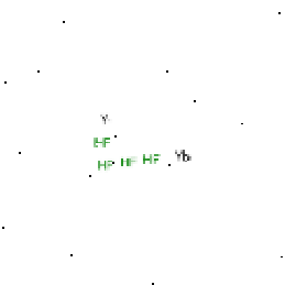 F.F.F.F.[Y].[Yb]